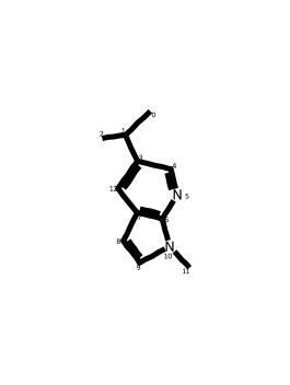 CC(C)c1cnc2c(ccn2C)c1